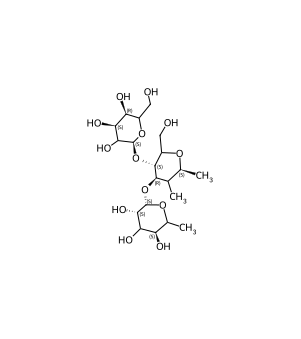 CC1O[C@@H](O[C@@H]2C(C)[C@H](C)OC(CO)[C@H]2O[C@@H]2OC(CO)[C@H](O)[C@H](O)C2O)[C@@H](O)C(O)[C@@H]1O